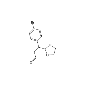 O=CCC(c1ccc(Br)cc1)C1OCCO1